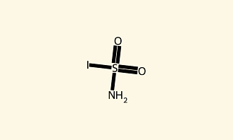 NS(=O)(=O)I